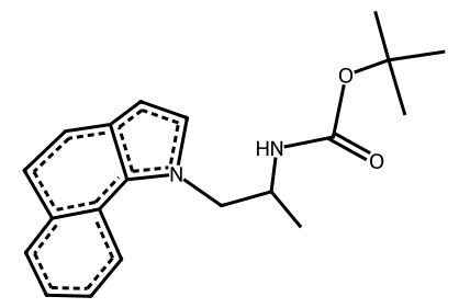 CC(Cn1ccc2ccc3ccccc3c21)NC(=O)OC(C)(C)C